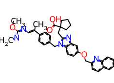 C=N/C(=N\C=C(/C)c1ccc(Cn2c(CC3(C(=O)O)CCCC3)nc3cc(OCc4ccc5ccccc5n4)ccc32)cc1)OC